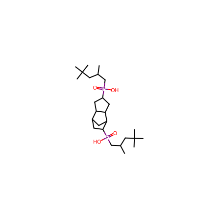 CC(CC(C)(C)C)CP(=O)(O)C1CC2C3CC(C2C1)C(P(=O)(O)CC(C)CC(C)(C)C)C3